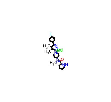 Cc1c(-c2ccc(F)cc2)nnc(N2CCC(N(C)C(=O)[C@@H]3CCCCN3)CC2)c1C.Cl.Cl